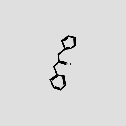 N=C(Cc1ccccc1)Cc1ccccc1